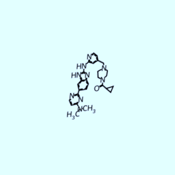 CN(C)c1ccnc(-c2ccc3nc(Nc4cc(CN5CCN(C(=O)C6CC6)CC5)ccn4)[nH]c3c2)n1